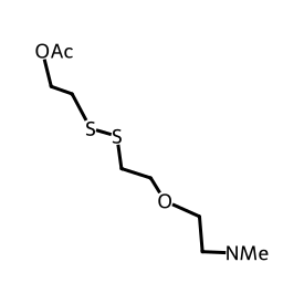 CNCCOCCSSCCOC(C)=O